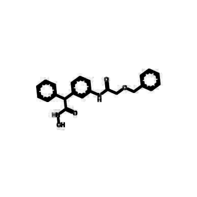 O=C(COCc1ccccc1)Nc1cccc(C(C(=O)NO)c2ccccc2)c1